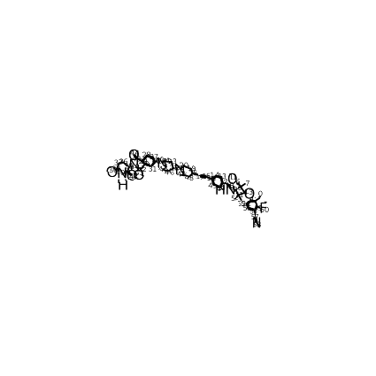 Cc1c(O[C@H]2C(C)(C)[C@H](NC(=O)c3ccc(C#CC4CCN(C5CCN(c6ccc7c(c6)C(=O)N(C6CCC(=O)NC6=O)C7=O)CC5)CC4)cc3)C2(C)C)ccc(C#N)c1F